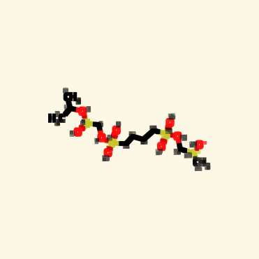 CC(C)OS(=O)COS(=O)(=O)CCCCS(=O)(=O)OC[S+](C)[O-]